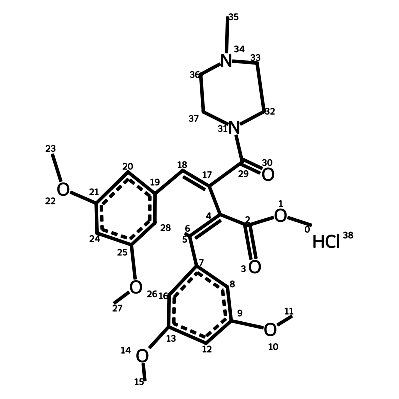 COC(=O)C(=C(/C)c1cc(OC)cc(OC)c1)/C(=C\c1cc(OC)cc(OC)c1)C(=O)N1CCN(C)CC1.Cl